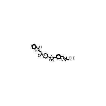 CC(C)(CO)n1cc2ccc(-c3noc(C4CCN(C(=O)CNC(=O)c5ccccc5)CC4)n3)cc2n1